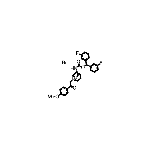 COc1ccc(C(=O)C[N+]23CCC(CC2)C(NC(=O)OC(c2cccc(F)c2)c2cccc(F)c2)C3)cc1.[Br-]